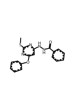 CSc1nc(NNC(=O)c2ccccc2)cc(Oc2ccccc2)n1